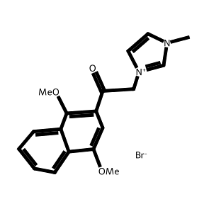 COc1cc(C(=O)C[n+]2ccn(C)c2)c(OC)c2ccccc12.[Br-]